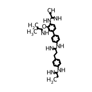 C#CC(=N)Nc1ccc(-c2ccc(NC(=N)CCc3ccc(NC(=N)C=C)cc3)cc2)cc1OC(=N)C(=C)C